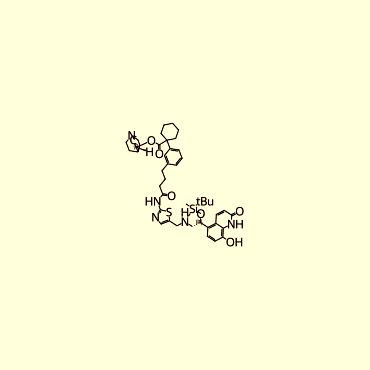 CC(C)(C)[Si](C)(C)O[C@@H](CNCc1cnc(NC(=O)CCCc2cccc(C3(C(=O)O[C@H]4CN5CCC4CC5)CCCCC3)c2)s1)c1ccc(O)c2[nH]c(=O)ccc12